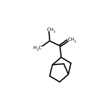 C=C(C(C)C)C1CC2CCC1C2